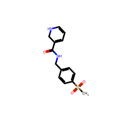 CS(=O)(=O)c1ccc(CNC(=O)C2=CC=CNC2)cc1